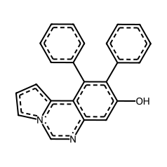 Oc1cc2ncn3cccc3c2c(-c2ccccc2)c1-c1ccccc1